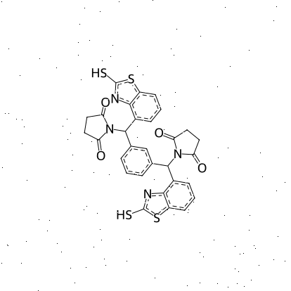 O=C1CCC(=O)N1C(c1cccc(C(c2cccc3sc(S)nc23)N2C(=O)CCC2=O)c1)c1cccc2sc(S)nc12